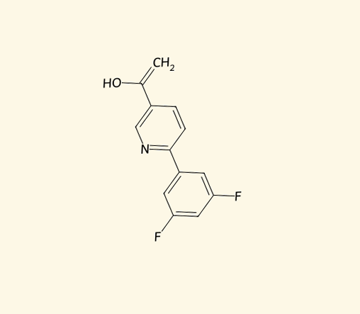 C=C(O)c1ccc(-c2cc(F)cc(F)c2)nc1